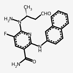 C[C@H](CC=O)N(N)c1nc(Nc2ccc3ccccc3c2)c(C(N)=O)cc1F